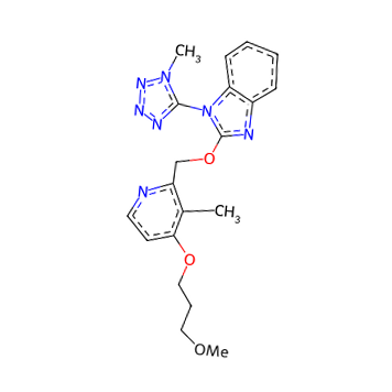 COCCCOc1ccnc(COc2nc3ccccc3n2-c2nnnn2C)c1C